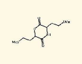 CSCCC1NC(=O)C(CCSC)OC1=O